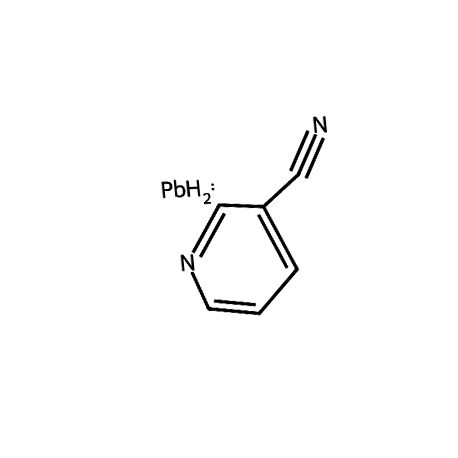 N#Cc1cccnc1.[PbH2]